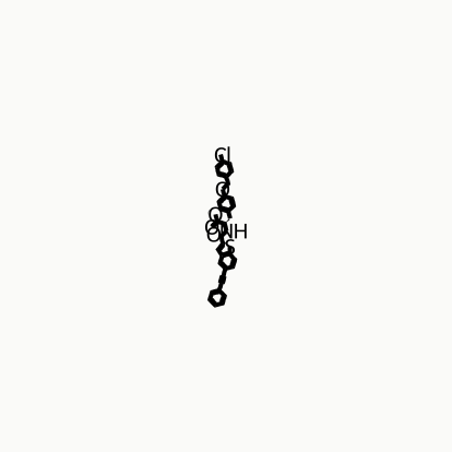 COC(=O)[C@H](Cc1ccc(OCc2ccc(Cl)cc2)cc1)NC(=O)c1cc2cc(C#Cc3ccccc3)ccc2s1